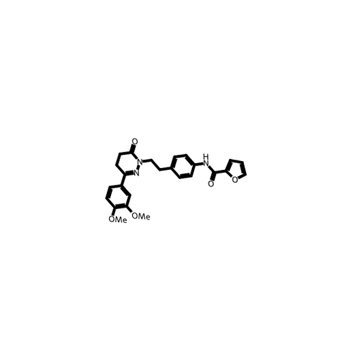 COc1ccc(C2=NN(CCc3ccc(NC(=O)c4ccco4)cc3)C(=O)CC2)cc1OC